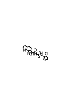 O=C(Nc1nnc(-c2ccccc2Cl)s1)c1onc2c1ccc1cccnc12